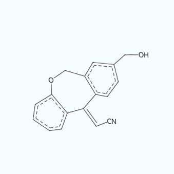 N#C/C=C1\c2ccc(CO)cc2COc2ccccc21